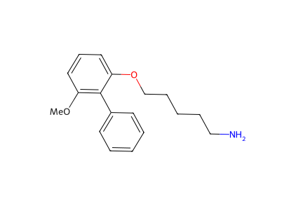 COc1cccc(OCCCCCN)c1-c1ccccc1